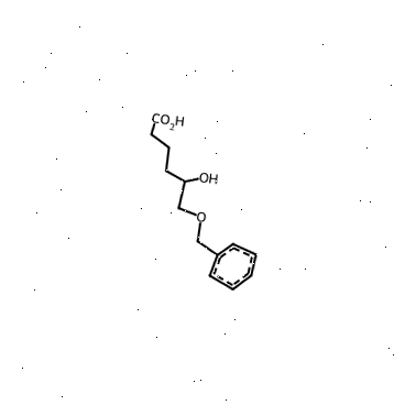 O=C(O)CCCC(O)COCc1ccccc1